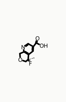 C[C@]1(F)COCc2ncc(C(=O)O)cc21